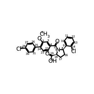 COc1cc(C(=O)N2[C@@H](c3ccccc3Cl)CC[C@H]2C(=O)O)ccc1-c1ccc(Cl)cc1